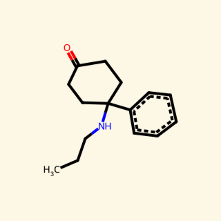 CCCNC1(c2ccccc2)CCC(=O)CC1